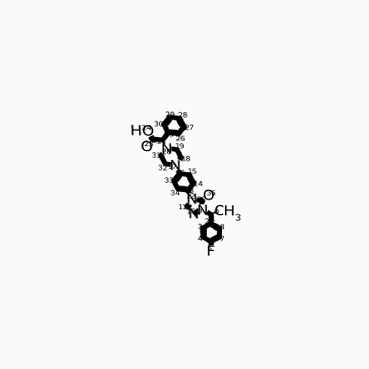 C[C@H](c1ccc(F)cc1)n1ncn(-c2ccc(N3CCN([C@@H](C(=O)O)c4ccccc4)CC3)cc2)c1=O